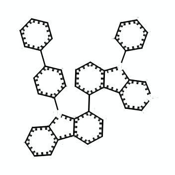 c1ccc(-c2ccc(-n3c4ccccc4c4cccc(-c5cccc6c5c5ccncc5n6-c5ccccc5)c43)cc2)cc1